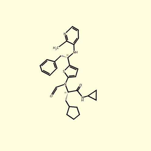 Cc1ncccc1N[C@@H](Cc1ccccc1)c1ccc(N(C=O)[C@@H](CC2CCCC2)C(=O)NC2CC2)s1